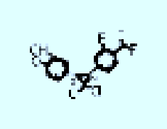 COc1ccc([C@@H]2[C@@H](c3ccc(C(F)F)c(F)c3)C2(Cl)Cl)cc1